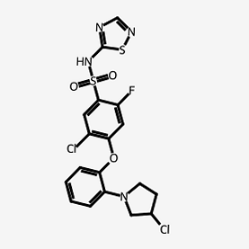 O=S(=O)(Nc1ncns1)c1cc(Cl)c(Oc2ccccc2N2CCC(Cl)C2)cc1F